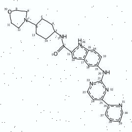 O=C(NC1CCC(N2CCOCC2)CC1)c1cc2cc(Nc3nccc(-c4ccccn4)n3)ccc2[nH]1